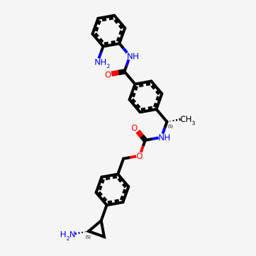 C[C@H](NC(=O)OCc1ccc(C2C[C@@H]2N)cc1)c1ccc(C(=O)Nc2ccccc2N)cc1